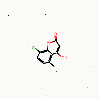 Cc1ccc(Cl)c2oc(=O)cc(O)c12